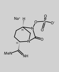 CNC(=N)[C@@H]1CC[C@@H]2CN1C(=O)N2OS(=O)(=O)[O-].[Na+]